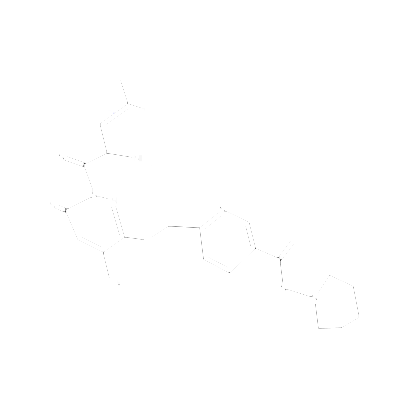 C/C(O)=C/C(N)C(=N)n1nc(OCc2ccc(C(=O)NN3CCCCC3)cn2)c(C(C)(C)C)cc1=N